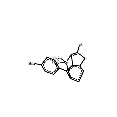 CCCCc1ccc(-c2c3ccc4c2C(=C(CC)[CH]4)[Si]3(C)C)cc1